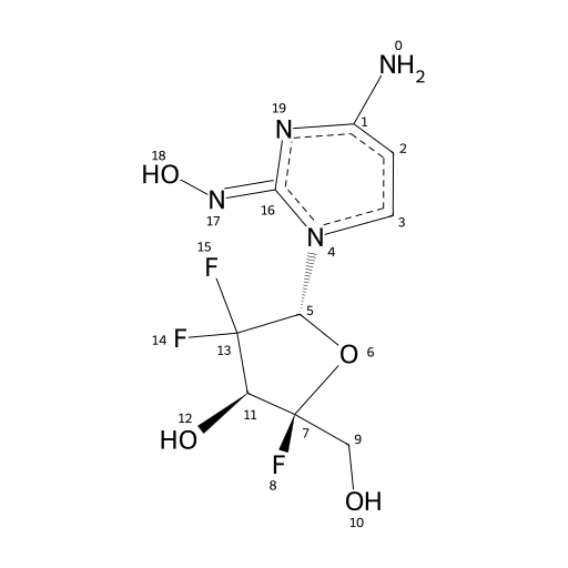 Nc1ccn([C@@H]2O[C@](F)(CO)[C@@H](O)C2(F)F)/c(=N/O)n1